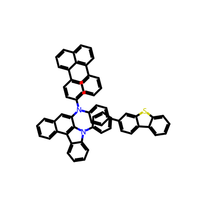 c1ccc(-c2cccc3cccc(-c4ccc(N(c5ccc(-c6ccc7c(c6)sc6ccccc67)cc5)c5cc6ccccc6c6c7ccccc7n(-c7ccccc7)c56)cc4)c23)cc1